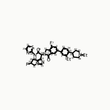 CCc1cc(-c2cc(F)c3c(c2)C(=O)N(C(C(=O)Nc2nccs2)c2ncn4c2CC(F)C4)C3)ccc1C1CCN(CC)CC1